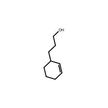 OCCCC1C=CCCC1